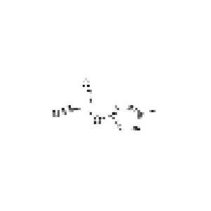 Cc1ccc(OC(C#N)C=O)cc1